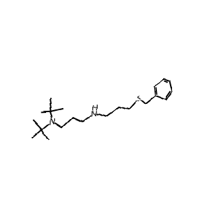 CC(C)(C)N(CCCNCCCSCc1ccccc1)C(C)(C)C